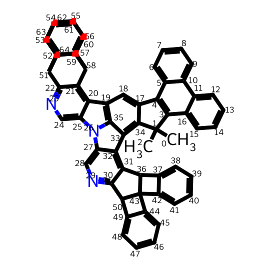 CC1(C)c2c(c3ccccc3c3ccccc23)-c2cc3c4c5c(ncc4n4c6cnc7c(c6c(c21)c34)C1c2ccccc2C12c1ccccc1C72)C1c2ccccc2C5c2ccccc21